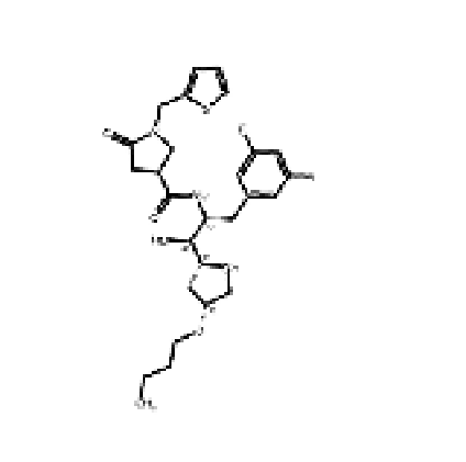 CCCCO[C@H]1CN[C@@H]([C@@H](O)[C@H](Cc2cc(F)cc(F)c2)NC(=O)C2CC(=O)N(Cc3cccs3)C2)C1